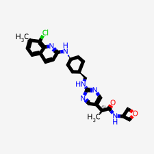 Cc1ccc2ccc(N[C@H]3CC[C@H](CNc4ncc([C@H](C)C(=O)NC5COC5)cn4)CC3)nc2c1Cl